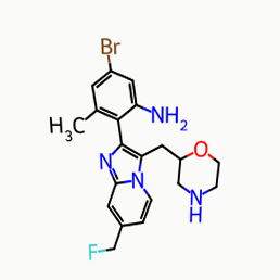 Cc1cc(Br)cc(N)c1-c1nc2cc(CF)ccn2c1CC1CNCCO1